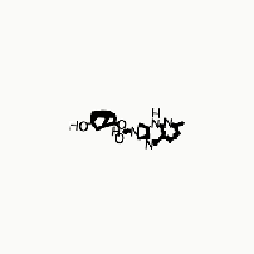 Cc1ccc(C#N)c(N[C@@H]2CCN(C(=O)O[C@H]3C4CC5CC3C[C@](O)(C5)C4)C2)n1